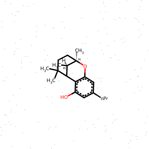 CCCc1cc(O)c2c(c1)O[C@]1(C)CCC(C)(C)C2[C@H]1C